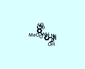 COc1cc2c(cc1C(=O)Nc1cccc(-c3nnnn3[C@H](C)CO)n1)S(=O)(=O)N(C)C2